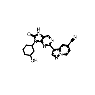 N#Cc1ccn2ncc(-c3ncc4[nH]c(=O)n(C5CCCC(O)C5)c4n3)c2c1